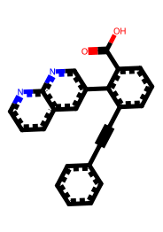 O=C(O)c1cccc(C#Cc2ccccc2)c1-c1cnc2ncccc2c1